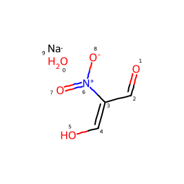 O.O=C/C(=C/O)[N+](=O)[O-].[Na]